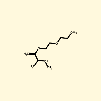 C=C(OCCOCCOC)C(C)PC